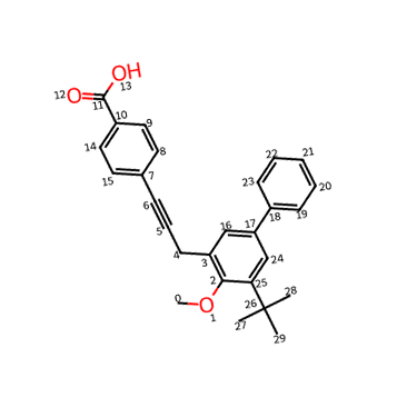 COc1c(CC#Cc2ccc(C(=O)O)cc2)cc(-c2ccccc2)cc1C(C)(C)C